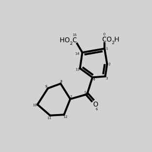 O=C(O)c1ccc(C(=O)C2CCCCC2)cc1C(=O)O